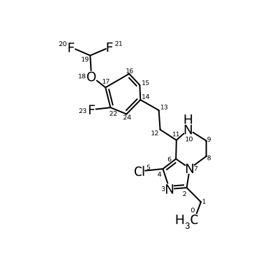 CCc1nc(Cl)c2n1CCNC2CCc1ccc(OC(F)F)c(F)c1